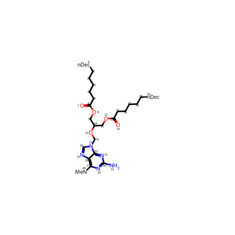 CCCCCCCCCCCCCCCC(=O)OCC(COC(=O)CCCCCCCCCCCCCCC)OCn1cnc2c(NC)nc(N)nc21